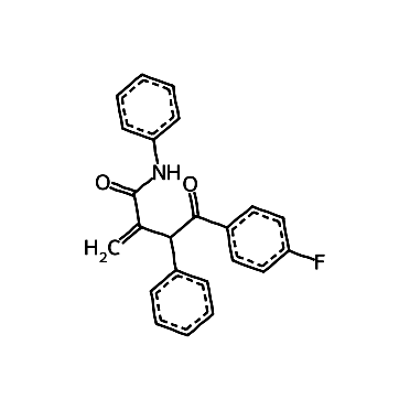 C=C(C(=O)Nc1ccccc1)C(C(=O)c1ccc(F)cc1)c1ccccc1